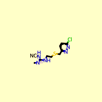 C/N=C(\NC#N)NCCSCc1ccc(Cl)nn1